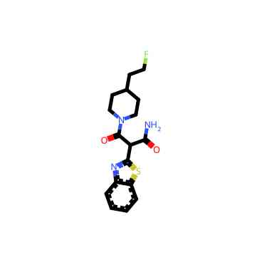 NC(=O)C(C(=O)N1CCC(CCF)CC1)c1nc2ccccc2s1